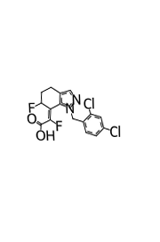 O=C(O)C(F)=C1c2c(cnn2Cc2ccc(Cl)cc2Cl)CCC1F